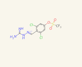 N=C(N)N/N=C/c1c(Cl)cc(OS(=O)(=O)C(F)(F)F)cc1Cl